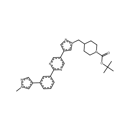 Cn1cc(-c2cccc(-c3ncc(-c4cnn(CC5CCN(C(=O)OC(C)(C)C)CC5)c4)cn3)c2)cn1